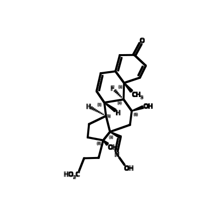 C[C@]12C=CC(=O)C=C1C=C[C@H]1[C@@H]3CC[C@@](O)(CCC(=O)O)[C@@]3(C=NO)C[C@H](O)[C@@]12F